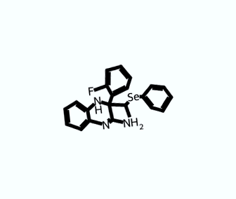 CC([Se]c1ccccc1)C1(c2ccccc2F)Nc2ccccc2N=C1N